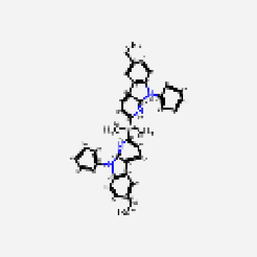 CC(C)(C)Cc1ccc2c(c1)c1ccc([Si](C)(C)c3ccc4c5cc(CC(C)(C)C)ccc5n(-c5ccccc5)c4n3)nc1n2-c1ccccc1